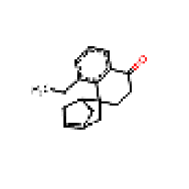 CCc1cccc2c1C1(CCC2=O)CC2=CCC1C2